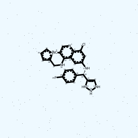 N#Cc1cnc2c(Cl)cc(N[C@H](C3=CNNN3)c3ccc(F)cc3)cc2c1NCc1cccs1